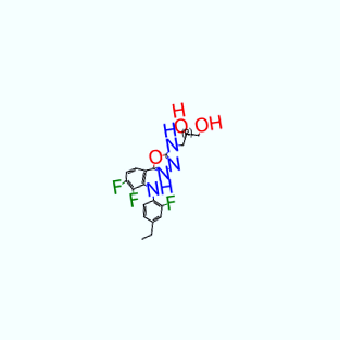 CCc1ccc(Nc2c(-c3nnc(NC[C@@H](O)CO)o3)ccc(F)c2F)c(F)c1